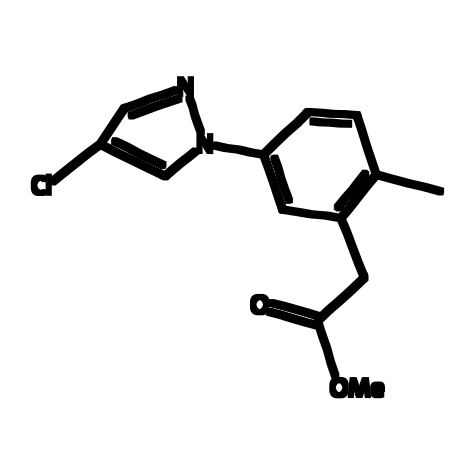 COC(=O)Cc1cc(-n2cc(Cl)cn2)ccc1C